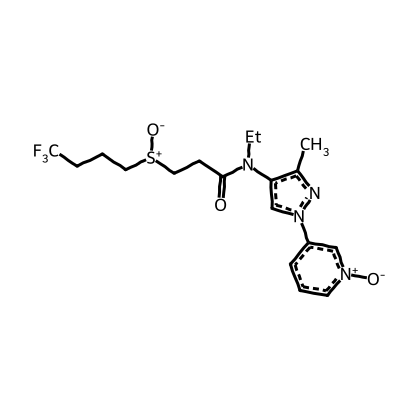 CCN(C(=O)CC[S+]([O-])CCCC(F)(F)F)c1cn(-c2ccc[n+]([O-])c2)nc1C